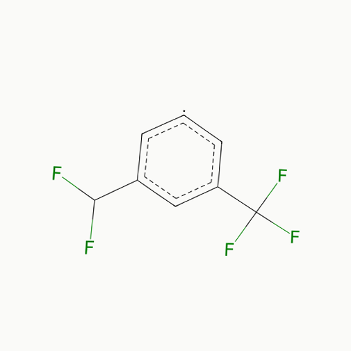 FC(F)c1c[c]cc(C(F)(F)F)c1